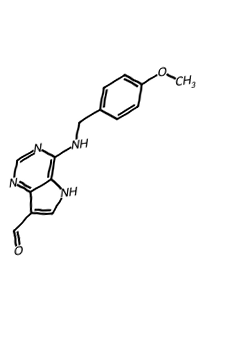 COc1ccc(CNc2ncnc3c(C=O)c[nH]c23)cc1